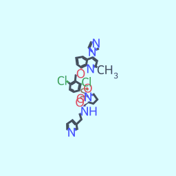 Cc1cc(-n2ccnc2)c2cccc(OCc3c(Cl)ccc(S(=O)(=O)N4CCC[C@H]4C(=O)NCCc4cccnc4)c3Cl)c2n1